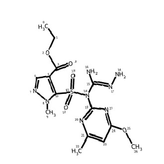 CCOC(=O)c1cnn(C)c1S(=O)(=O)N(C(N)=NN)c1nc(C)cc(OC)n1